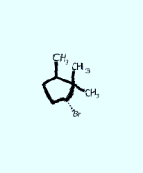 CC1CC[C@@H](Br)C1(C)C